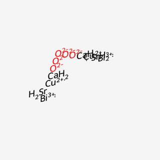 [Bi+3].[Bi+3].[CaH2].[CaH2].[Cu+2].[Cu+2].[O-2].[O-2].[O-2].[O-2].[O-2].[SrH2].[SrH2]